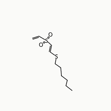 C=CS(=O)(=O)C=CSCCCCCC